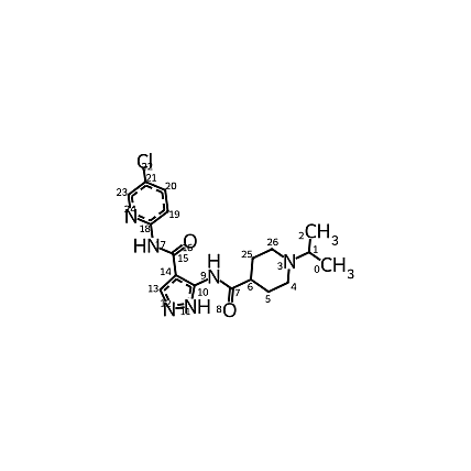 CC(C)N1CCC(C(=O)Nc2[nH]ncc2C(=O)Nc2ccc(Cl)cn2)CC1